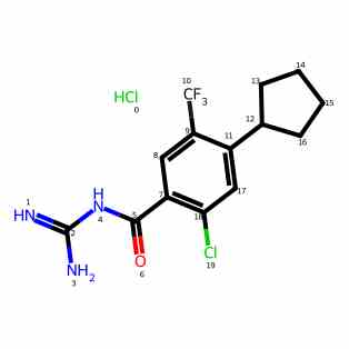 Cl.N=C(N)NC(=O)c1cc(C(F)(F)F)c(C2CCCC2)cc1Cl